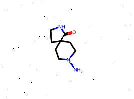 NN1CCC2(CCNC2=O)CC1